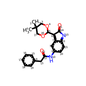 CC1(C)COC(C2=c3cc(NC(=O)Cc4ccccc4)ccc3=NC2=O)OC1